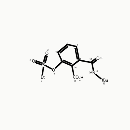 CCS(=O)(=O)Oc1cccc(C(=O)NC(C)(C)C)c1C(=O)O